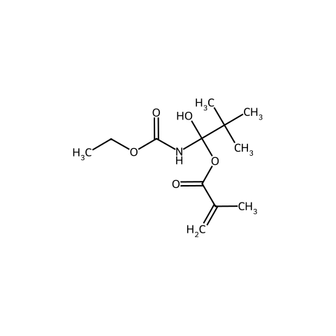 C=C(C)C(=O)OC(O)(NC(=O)OCC)C(C)(C)C